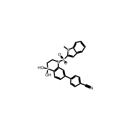 Cn1c(S(=O)(=O)N2CCS(O)(O)c3ccc(-c4ccc(C#N)cc4)cc32)cc2ccccc21